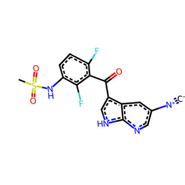 [C-]#[N+]c1cnc2[nH]cc(C(=O)c3c(F)ccc(NS(C)(=O)=O)c3F)c2c1